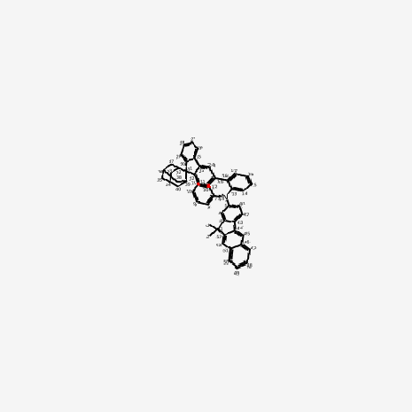 CC1(C)c2cc(N(c3ccccc3)c3ccccc3-c3ccc4c(c3)-c3ccccc3C43C4CC5CC(C4)CC3C5)ccc2-c2cc3ccccc3cc21